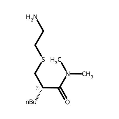 CCCC[C@H](CSCCN)C(=O)N(C)C